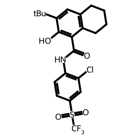 CC(C)(C)c1cc2c(c(C(=O)Nc3ccc(S(=O)(=O)C(F)(F)F)cc3Cl)c1O)CCCC2